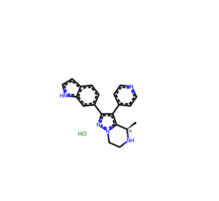 C[C@H]1NCCn2nc(-c3ccc4cc[nH]c4c3)c(-c3ccncc3)c21.Cl